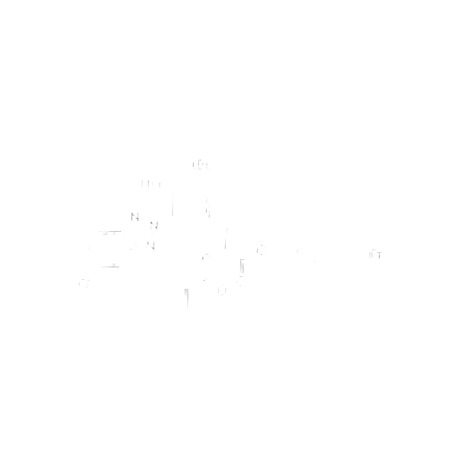 C=C(C)C(=O)OC(Cc1cc(-n2nc3ccc(Cl)cc3n2)c(O)c(C(C)(C)C)c1)C(=O)OCCCCCC(C)C